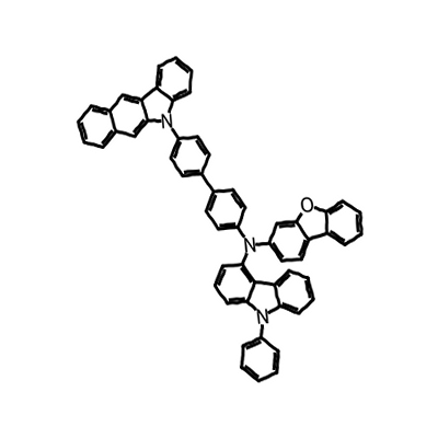 c1ccc(-n2c3ccccc3c3c(N(c4ccc(-c5ccc(-n6c7ccccc7c7cc8ccccc8cc76)cc5)cc4)c4ccc5c(c4)oc4ccccc45)cccc32)cc1